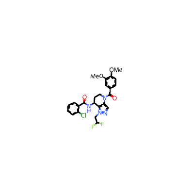 COc1ccc(C(=O)N2CCC(NC(=O)c3ccccc3Cl)c3c2cnn3CC(F)F)cc1OC